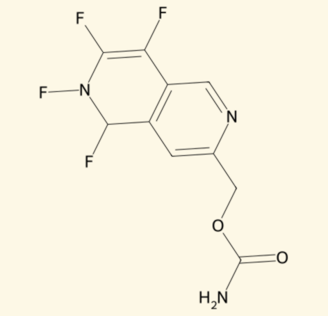 NC(=O)OCc1cc2c(cn1)C(F)=C(F)N(F)C2F